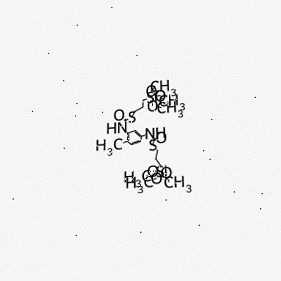 CO[Si](CCCSC(=O)Nc1ccc(C)c(NC(=O)SCCC[Si](OC)(OC)OC)c1)(OC)OC